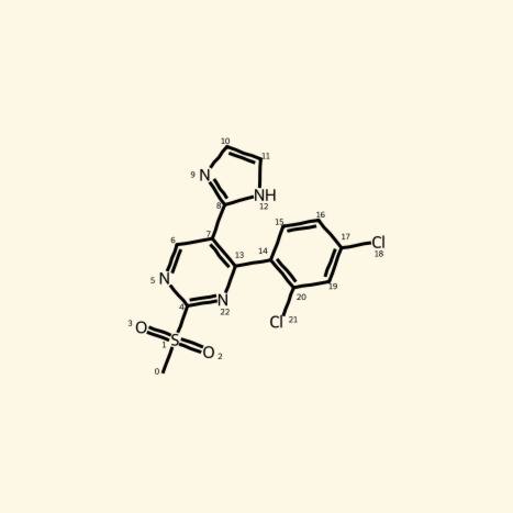 CS(=O)(=O)c1ncc(-c2ncc[nH]2)c(-c2ccc(Cl)cc2Cl)n1